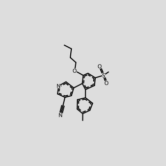 CCCCOc1cc(S(C)(=O)=O)cc(-c2ccc(C)cc2)c1-c1cncc(C#N)c1